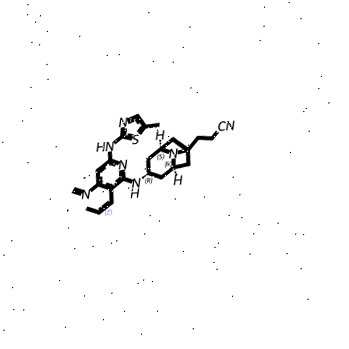 C=Nc1cc(Nc2ncc(C)s2)nc(N[C@H]2C[C@@H]3CC4(CCC#N)C[C@H](C2)N34)c1/C=C\C